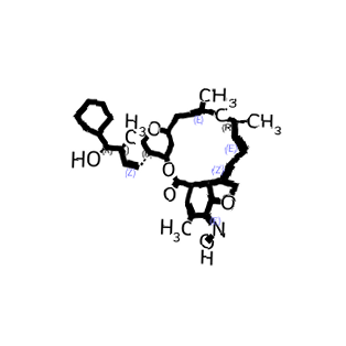 CC1=CC2C(=O)OC3CC(C/C=C(\C)C[C@@H](C)/C=C/C=C4\COC(/C1=N/O)C42)OC[C@H]3/C=C\[C@H](C)[C@H](O)C1CCCCC1